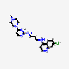 CN1CCN(c2ccnc(NCCCNc3ccnc4cc(Cl)ccc34)n2)CC1